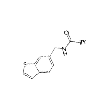 CC(C)C(=O)NCc1ccc2ccsc2c1